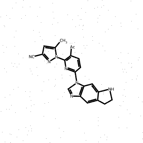 CC(=O)c1ccc(-n2cnc3cc4c(cc32)NCC4)nc1-n1nc(C#N)cc1C